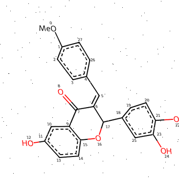 COc1ccc(C=C2C(=O)c3cc(O)ccc3OC2c2ccc(O)c(O)c2)cc1